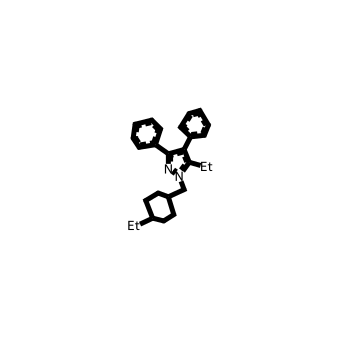 CCc1c(-c2ccccc2)c(-c2ccccc2)nn1CC1CCC(CC)CC1